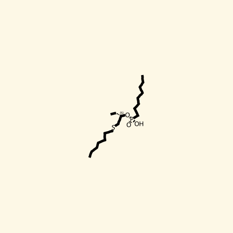 CCCCCCCCP(=O)(O)O[C@@H](CC)CSCCCCCCC